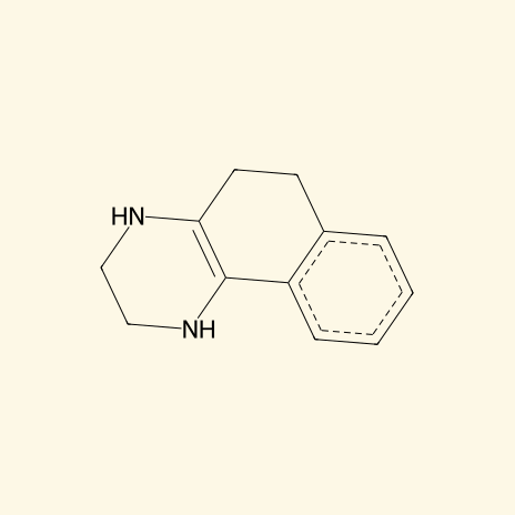 c1ccc2c(c1)CCC1=C2NCCN1